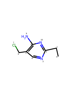 CCc1ncc(CCl)c(N)n1